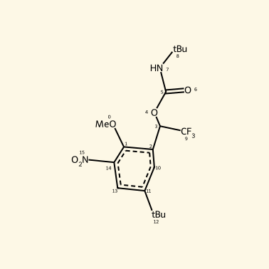 COc1c(C(OC(=O)NC(C)(C)C)C(F)(F)F)cc(C(C)(C)C)cc1[N+](=O)[O-]